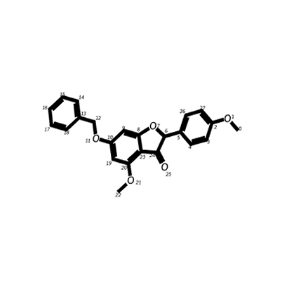 COc1ccc(C2Oc3cc(OCc4ccccc4)cc(OC)c3C2=O)cc1